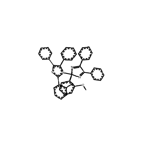 COc1ccccc1C1(n2c(-c3ccccc3C)nc(-c3ccccc3)c2-c2ccccc2)N=C(c2ccccc2)C(c2ccccc2)=N1